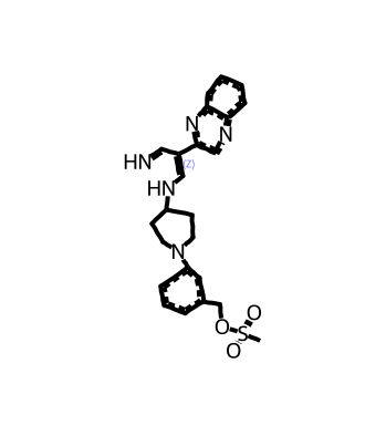 CS(=O)(=O)OCc1cccc(N2CCC(N/C=C(\C=N)c3cnc4ccccc4n3)CC2)c1